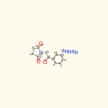 [N-]=[N+]=Nc1cccc(C(=O)CN2C(=O)CCC2=O)c1